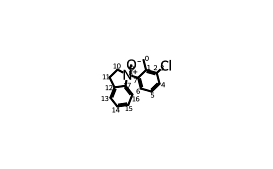 Cc1c(Cl)cccc1[N+]1([O-])CCc2ccccc21